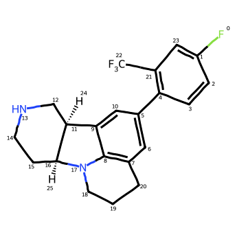 Fc1ccc(-c2cc3c4c(c2)[C@@H]2CNCC[C@@H]2N4CCC3)c(C(F)(F)F)c1